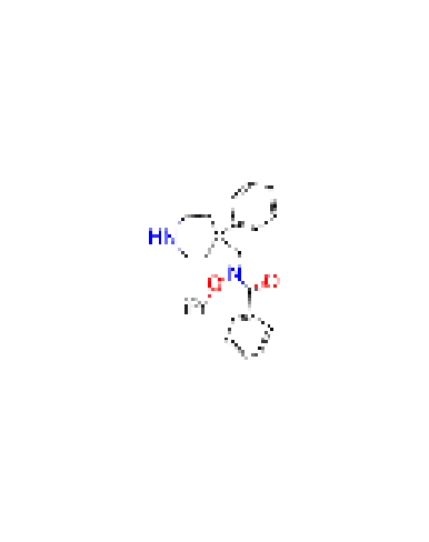 CC(C)ON(CC1(c2ccccc2)CCNCC1)C(=O)c1ccccc1